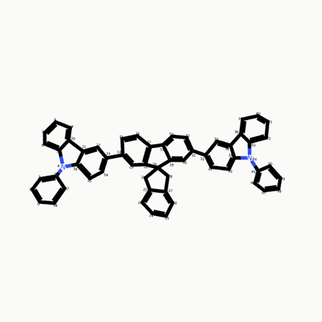 c1ccc(-n2c3ccccc3c3cc(-c4ccc5c(c4)C4(Cc6ccccc6C4)c4cc(-c6ccc7c(c6)c6ccccc6n7-c6ccccc6)ccc4-5)ccc32)cc1